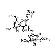 COC[C@@H]1OC(COS(=O)(=O)O)[C@@H](COC[C@@H]2OC(CO)[C@H](O)[C@@H](COC)C2O)[C@@H](O)C1NC(C)=O